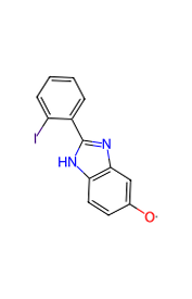 [O]c1ccc2[nH]c(-c3ccccc3I)nc2c1